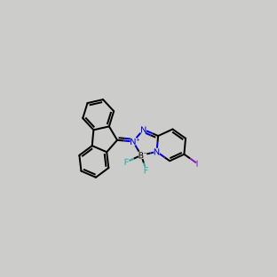 F[B-]1(F)N2C=C(I)C=CC2=N[N+]1=C1c2ccccc2-c2ccccc21